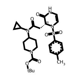 Cc1ccc(S(=O)(=O)N2C=CNC(=O)[C@H]2CC(=O)N(C2CC2)C2CCN(C(=O)OC(C)(C)C)CC2)cc1